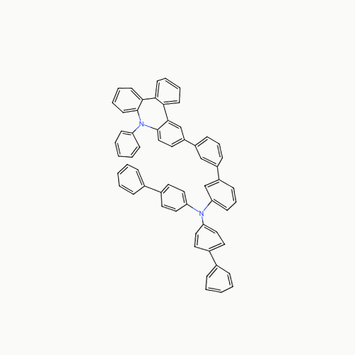 c1ccc(-c2ccc(N(c3ccc(-c4ccccc4)cc3)c3cccc(-c4cccc(-c5ccc6c(c5)-c5ccccc5-c5ccccc5N6c5ccccc5)c4)c3)cc2)cc1